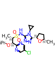 CC(C)O[C@@H](c1ncc(Cl)cn1)[C@H](C)S(=O)(=O)Nc1nnc([C@@H]2CC[C@H](C)O2)n1C1CC1